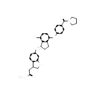 COC(=O)CC1COc2cc(O[C@@H]3CCc4c(Oc5ccc(C(=O)N6CCCC6)cc5)ccc(F)c43)ccc21